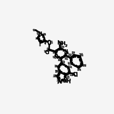 Cn1ccc(OC(=O)c2nc(-c3cc(Cl)c4[nH]ncc4c3)c(-c3ccccc3)nc2N)c1